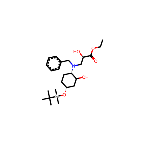 CCOC(=O)[C@H](O)CN(Cc1ccccc1)[C@H]1CC[C@@H](O[Si](C)(C)C(C)(C)C)CC1O